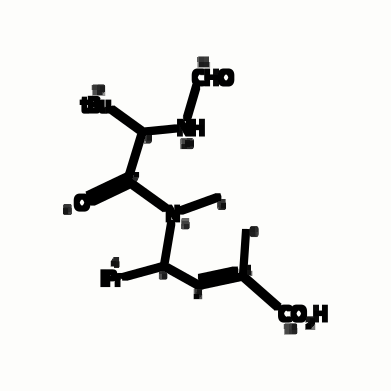 C/C(=C\C(C(C)C)N(C)C(=O)C(NC=O)C(C)(C)C)C(=O)O